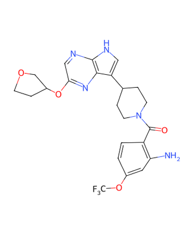 Nc1cc(OC(F)(F)F)ccc1C(=O)N1CCC(c2c[nH]c3ncc(OC4CCOC4)nc23)CC1